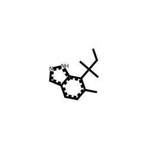 CCC(C)(C)c1c(C)ccc2cn[nH]c12